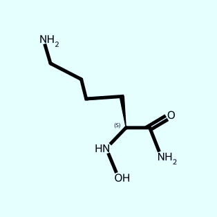 NCCCC[C@H](NO)C(N)=O